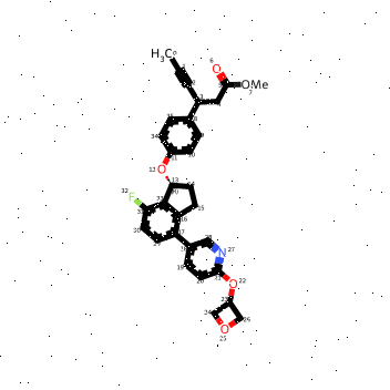 CC#CC(CC(=O)OC)c1ccc(O[C@@H]2CCc3c(-c4ccc(OC5COC5)nc4)ccc(F)c32)cc1